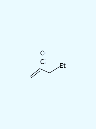 C=CCCC.[C].[C]